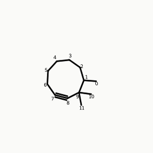 CC1CCCCCC#CC1(C)C